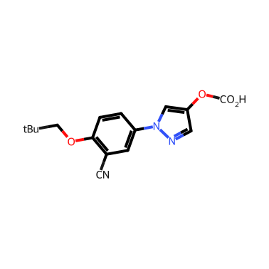 CC(C)(C)COc1ccc(-n2cc(OC(=O)O)cn2)cc1C#N